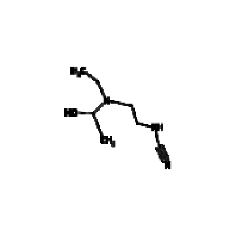 CCN(CCNC#N)C(C)O